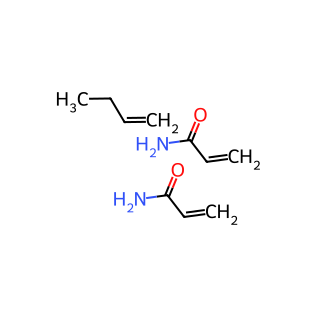 C=CC(N)=O.C=CC(N)=O.C=CCC